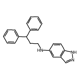 c1ccc(C(CCNc2ccc3[nH]ncc3c2)c2ccccc2)cc1